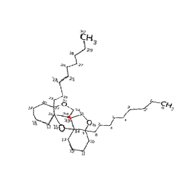 CCCCCCCCCC12CCCCC1(OC13CCCCC1(CCCCCCCCC)OCC3)CCO2